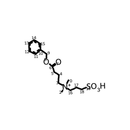 C[N+](C)(CCCC(=O)OCc1ccccc1)CCCS(=O)(=O)O